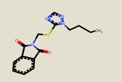 CCCCn1ncnc1SCN1C(=O)c2ccccc2C1=O